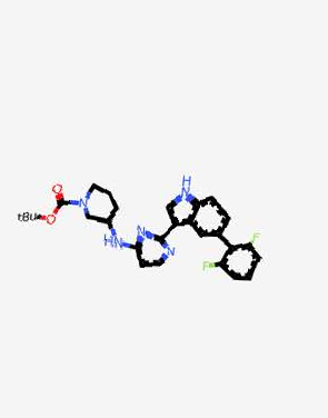 CC(C)(C)OC(=O)N1CCCC(Nc2ccnc(-c3c[nH]c4ccc(-c5c(F)cccc5F)cc34)n2)C1